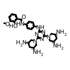 COc1cccc(C(=O)Nc2ccc(Nc3nc(N4C[C@H](N)C[C@H](N)C4)nc(N4C[C@H](N)C[C@H](N)C4)n3)cc2)c1O